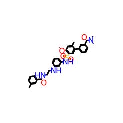 COc1cc(C)c(-c2cccc(C(=O)N(C)C)c2)cc1S(=O)(=O)Nc1cccc(NCCNC(=O)c2cccc(C)c2)c1